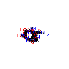 C=C1C[C@@H]2NC(=O)C([C@@H](C)C(O)CO)NC(=O)[C@@H]3C[C@@H](O)CN3C(=O)C(CC(N)=O)NC(=O)[C@H](Cc3c1ccc(O)c3CSC1CCN(C(=O)CCN)C1)NC(=O)CNC(=O)C([C@@H](C)CC)NC(=O)CNC2=O